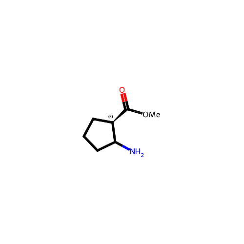 COC(=O)[C@@H]1CCCC1N